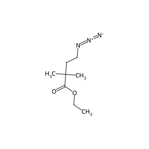 CCOC(=O)C(C)(C)CCN=[N+]=[N-]